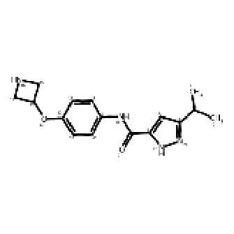 CC(C)c1cc(C(=O)Nc2ccc(OC3CNC3)cc2)[nH]n1